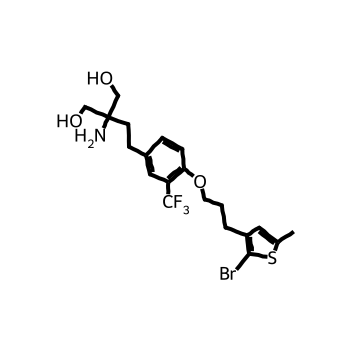 Cc1cc(CCCOc2ccc(CCC(N)(CO)CO)cc2C(F)(F)F)c(Br)s1